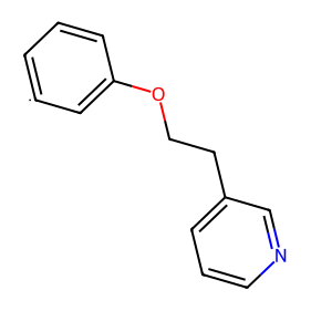 [c]1cccc(OCCc2cccnc2)c1